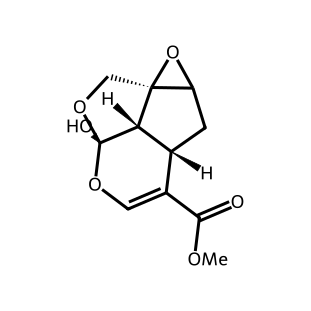 COC(=O)C1=CO[C@]2(O)OC[C@]34OC3C[C@H]1[C@H]24